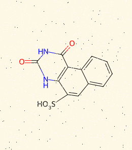 O=c1[nH]c(=O)c2c([nH]1)c(S(=O)(=O)O)cc1ccccc12